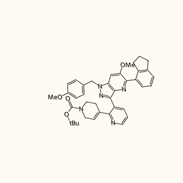 COc1ccc(Cn2nc(-c3cccnc3C3=CCN(C(=O)OC(C)(C)C)CC3)c3nc(-c4cccc5c4CCC5)c(OC)cc32)cc1